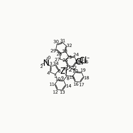 CN(C)C1=CC[C]([Zr+2](=[C](c2ccccc2)c2ccccc2)[c]2cccc3c2Cc2ccccc2-3)=C1.[Cl-].[Cl-]